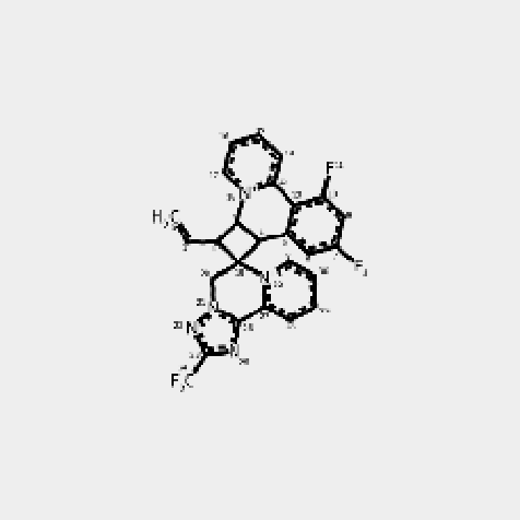 C=CC1C2C(c3cc(F)cc(F)c3-c3cccc[n+]32)C12Cn1nc(C(F)(F)F)nc1-c1cccc[n+]12